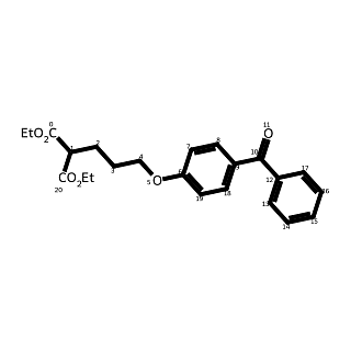 CCOC(=O)C(CCCOc1ccc(C(=O)c2ccccc2)cc1)C(=O)OCC